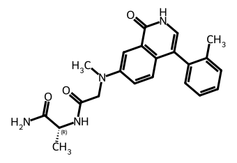 Cc1ccccc1-c1c[nH]c(=O)c2cc(N(C)CC(=O)N[C@H](C)C(N)=O)ccc12